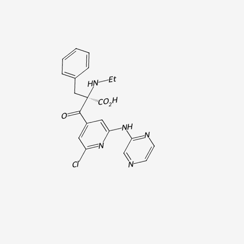 CCN[C@@](Cc1ccccc1)(C(=O)O)C(=O)c1cc(Cl)nc(Nc2cnccn2)c1